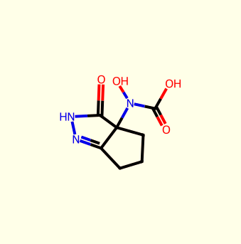 O=C(O)N(O)C12CCCC1=NNC2=O